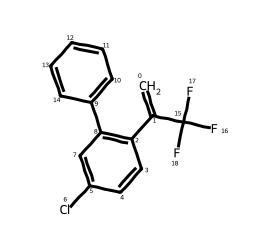 C=C(c1ccc(Cl)cc1-c1ccccc1)C(F)(F)F